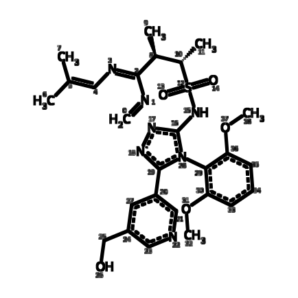 C=N/C(=N\C=C(C)C)[C@@H](C)[C@H](C)S(=O)(=O)Nc1nnc(-c2cncc(CO)c2)n1-c1c(OC)cccc1OC